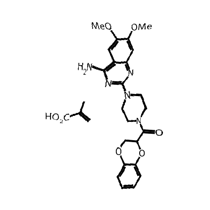 C=C(C)C(=O)O.COc1cc2nc(N3CCN(C(=O)C4COc5ccccc5O4)CC3)nc(N)c2cc1OC